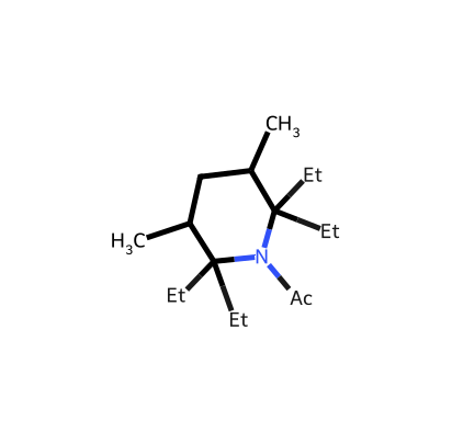 CCC1(CC)C(C)CC(C)C(CC)(CC)N1C(C)=O